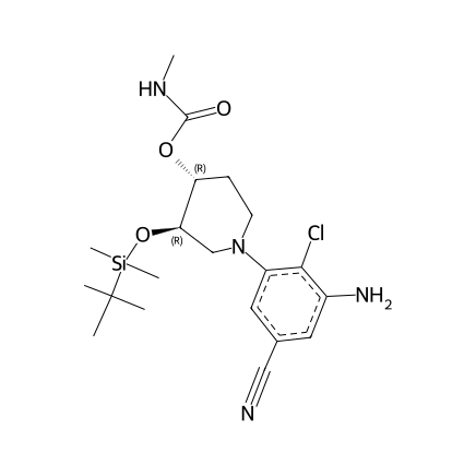 CNC(=O)O[C@@H]1CCN(c2cc(C#N)cc(N)c2Cl)C[C@H]1O[Si](C)(C)C(C)(C)C